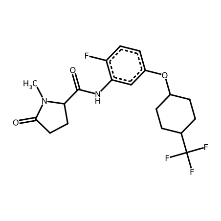 CN1C(=O)CCC1C(=O)Nc1cc(OC2CCC(C(F)(F)F)CC2)ccc1F